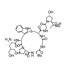 CC[C@H](C)[C@@H]1NC(=O)[C@H]2CCCN2C(=O)[C@@H](NC(=O)[C@@H](N)[C@@H](C)C(CO)CO)Cc2c([nH]c3ccccc23)SC[C@@H](C(=O)N[C@@H](CCN=O)C(=O)N2C[C@H](O)C[C@H]2C(=O)O)NC(=O)CNC1=O